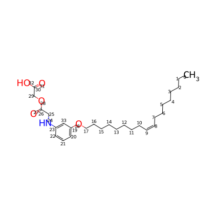 CCCCCCCC/C=C\CCCCCCCCOc1cccc(NCC(=O)OCC(=O)O)c1